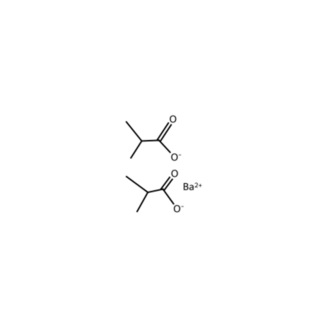 CC(C)C(=O)[O-].CC(C)C(=O)[O-].[Ba+2]